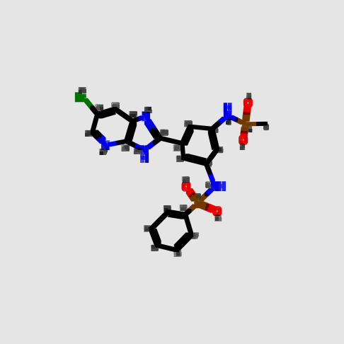 CS(=O)(=O)Nc1cc(NS(=O)(=O)c2ccccc2)cc(-c2nc3cc(Br)cnc3[nH]2)c1